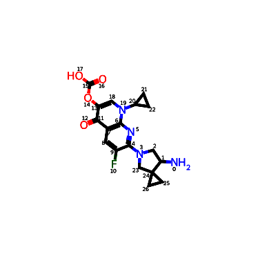 NC1CN(c2nc3c(cc2F)c(=O)c(OC(=O)O)cn3C2CC2)CC12CC2